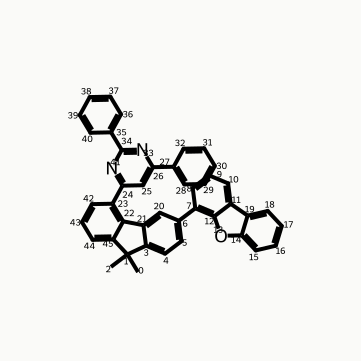 CC1(C)c2ccc(-c3cccc4c3oc3ccccc34)cc2-c2c(-c3cc(-c4ccccc4)nc(-c4ccccc4)n3)cccc21